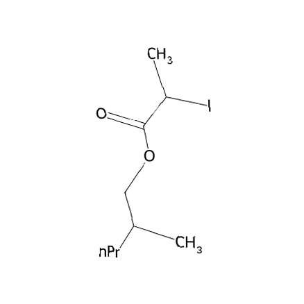 CCCC(C)COC(=O)C(C)I